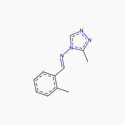 Cc1ccccc1C=Nn1cnnc1C